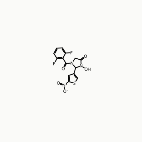 O=C1CN(C(=O)c2c(F)cccc2F)C(c2csc([N+](=O)[O-])c2)N1O